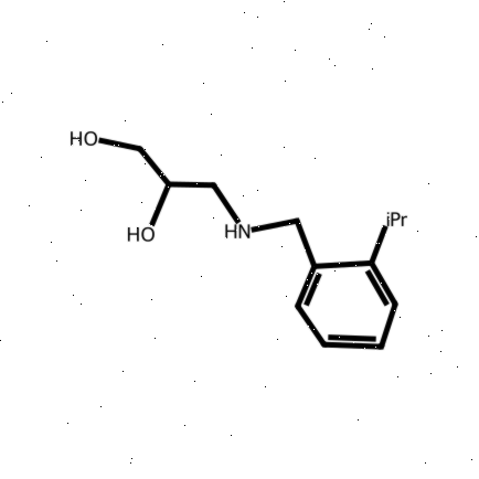 CC(C)c1ccccc1CNCC(O)CO